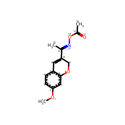 COc1ccc2c(c1)OCC(/C(C)=N/OC(C)=O)=C2